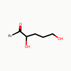 CC(=O)C(=O)C(O)CCCO